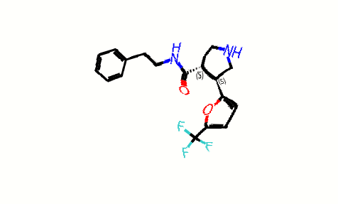 O=C(NCCc1ccccc1)[C@@H]1CNC[C@H]1c1ccc(C(F)(F)F)o1